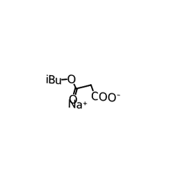 CCC(C)OC(=O)CC(=O)[O-].[Na+]